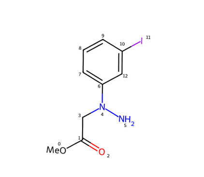 COC(=O)CN(N)c1cccc(I)c1